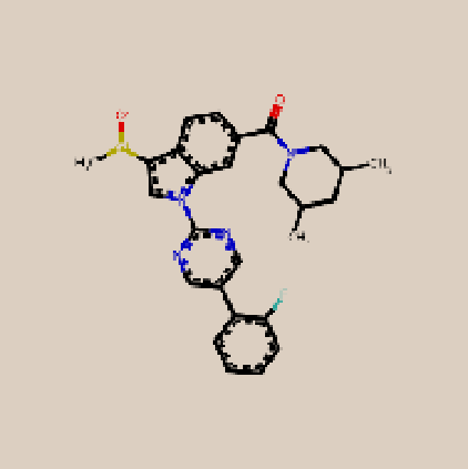 CC1CC(C)CN(C(=O)c2ccc3c([S+](C)[O-])cn(-c4ncc(-c5ccccc5F)cn4)c3c2)C1